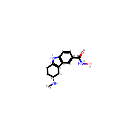 CCN[C@@H]1CCc2[nH]c3ccc(C(=O)NO)cc3c2C1